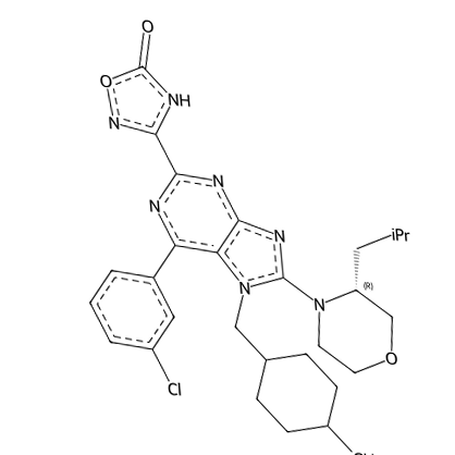 CC(C)C[C@@H]1COCCN1c1nc2nc(-c3noc(=O)[nH]3)nc(-c3cccc(Cl)c3)c2n1CC1CCC(C)CC1